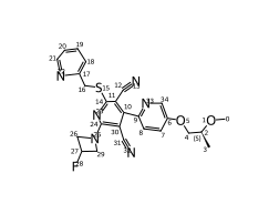 CO[C@@H](C)COc1ccc(-c2c(C#N)c(SCc3ccccn3)nc(N3CC(F)C3)c2C#N)nc1